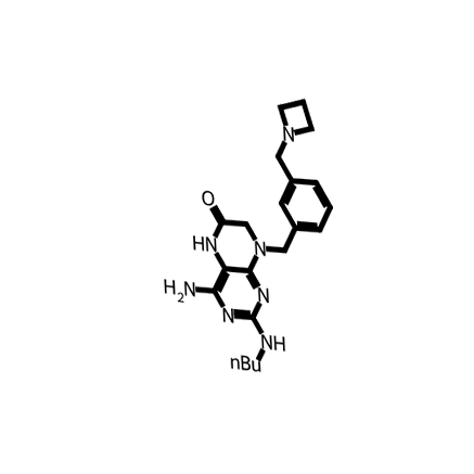 CCCCNc1nc(N)c2c(n1)N(Cc1cccc(CN3CCC3)c1)CC(=O)N2